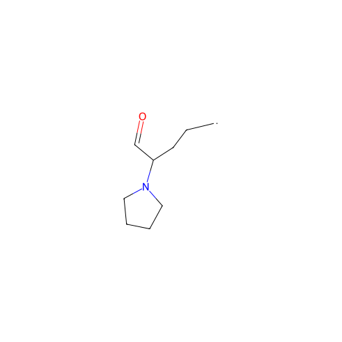 [CH2]CCC(C=O)N1CCCC1